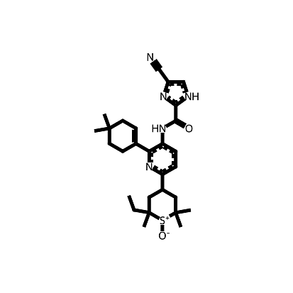 CCC1(C)CC(c2ccc(NC(=O)c3nc(C#N)c[nH]3)c(C3=CCC(C)(C)CC3)n2)CC(C)(C)[S+]1[O-]